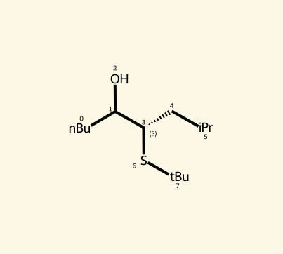 C[CH]CCC(O)[C@H](CC(C)C)SC(C)(C)C